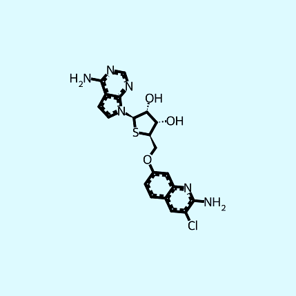 Nc1nc2cc(OC[C@H]3S[C@@H](n4ccc5c(N)ncnc54)[C@H](O)[C@@H]3O)ccc2cc1Cl